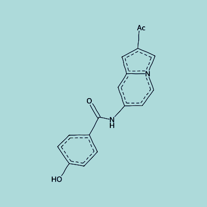 CC(=O)c1cc2cc(NC(=O)c3ccc(O)cc3)ccn2c1